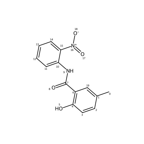 Cc1ccc(O)c(C(=O)Nc2ccccc2[N+](=O)[O-])c1